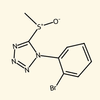 C[S+]([O-])c1nnnn1-c1ccccc1Br